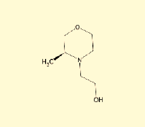 C[C@H]1COCCN1CCO